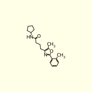 Cc1ccccc1-c1nc(CCCC(=O)NC2CCCC2)c(C)o1